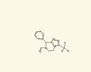 O=CN1CCn2c(nnc2C(F)(F)F)C1c1ccccc1